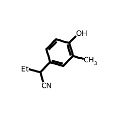 CCC(C#N)c1ccc(O)c(C)c1